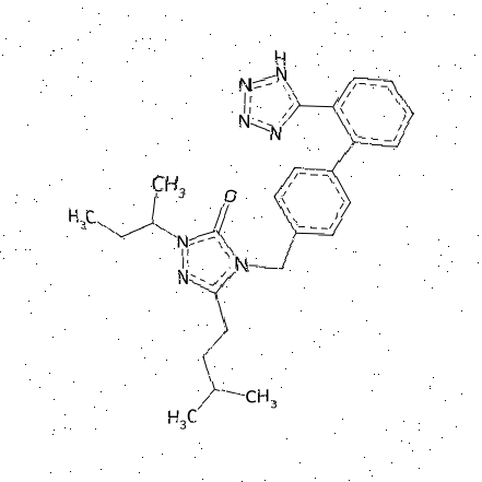 CCC(C)n1nc(CCC(C)C)n(Cc2ccc(-c3ccccc3-c3nnn[nH]3)cc2)c1=O